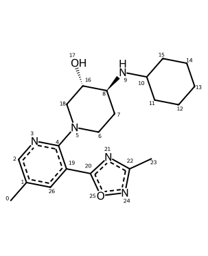 Cc1cnc(N2CC[C@H](NC3CCCCC3)[C@@H](O)C2)c(-c2nc(C)no2)c1